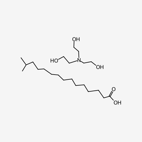 CC(C)CCCCCCCCCCCCC(=O)O.OCCN(CCO)CCO